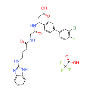 O=C(O)C(F)(F)F.O=C(O)CC(NC(=O)CNC(=O)CCCNc1nc2ccccc2[nH]1)c1ccc(-c2ccc(F)c(Cl)c2)cc1